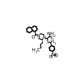 CCCC[C@H]1CN(C(=O)c2cccc3ccccc23)CCN1C(SCc1ccc([N+](=O)[O-])cc1)C(C)N